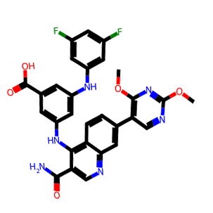 COc1ncc(-c2ccc3c(Nc4cc(Nc5cc(F)cc(F)c5)cc(C(=O)O)c4)c(C(N)=O)cnc3c2)c(OC)n1